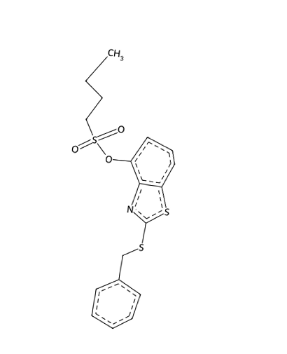 CCCCS(=O)(=O)Oc1cccc2sc(SCc3ccccc3)nc12